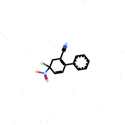 N#CC1=C(c2ccccc2)C=CC(Cl)([N+](=O)[O-])C1